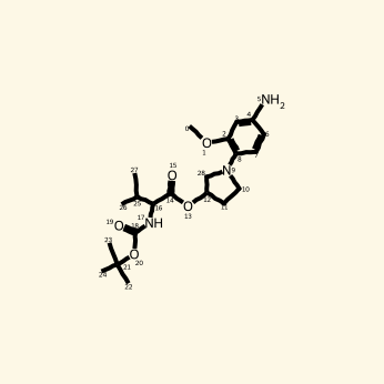 COc1cc(N)ccc1N1CCC(OC(=O)C(NC(=O)OC(C)(C)C)C(C)C)C1